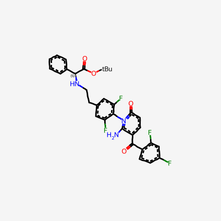 CC(C)(C)OC(=O)[C@@H](NCCc1cc(F)c(-n2c(N)c(C(=O)c3ccc(F)cc3F)ccc2=O)c(F)c1)c1ccccc1